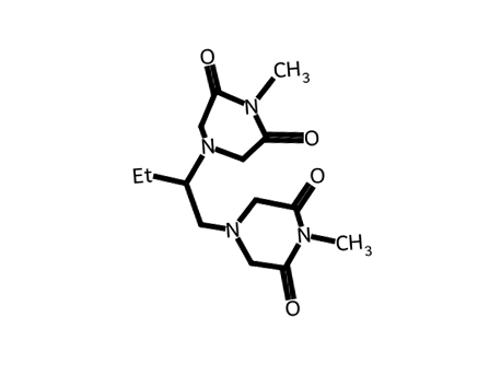 CCC(CN1CC(=O)N(C)C(=O)C1)N1CC(=O)N(C)C(=O)C1